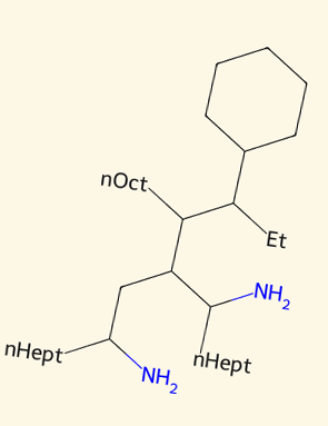 CCCCCCCCC(C(CC(N)CCCCCCC)C(N)CCCCCCC)C(CC)C1CCCCC1